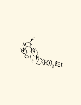 CCOC(=O)N1CC2(CC[C@@H](N3CCN(c4cc(F)cnc4-n4cc(C)cn4)CC3)C2)C1